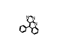 c1ccc(-c2c3ccccc3nc3ncncc23)cc1